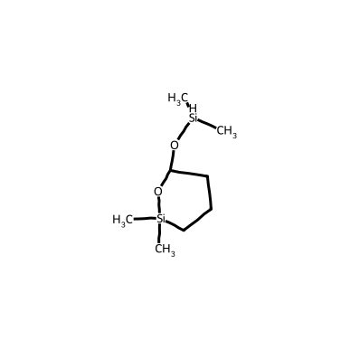 C[SiH](C)OC1CCC[Si](C)(C)O1